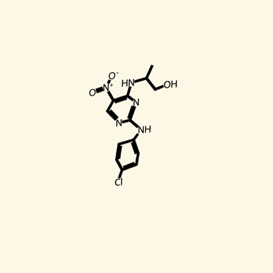 CC(CO)Nc1nc(Nc2ccc(Cl)cc2)ncc1[N+](=O)[O-]